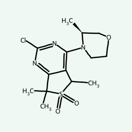 CC1c2c(N3CCOC[C@@H]3C)nc(Cl)nc2C(C)(C)S1(=O)=O